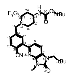 Cn1c(=O)n(CC(C)(C)C)c2ccc(-c3cc(CN4CC[C@H](NC(=O)OC(C)(C)C)C[C@H]4C(F)(F)F)ccc3C#N)nc21